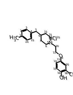 Cc1ccc(CC2CCN(CCOc3ccc(O)c(C)c3)CC2)cc1.Cl